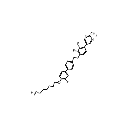 CCCCCCCOc1ccc(-c2ccc(CCc3ccc(-c4cnc(C)nc4)c(F)c3F)cc2)cc1F